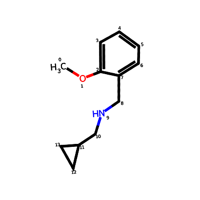 COc1ccccc1CNCC1CC1